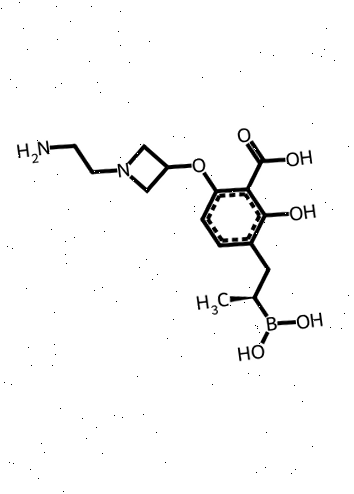 C[C@@H](Cc1ccc(OC2CN(CCN)C2)c(C(=O)O)c1O)B(O)O